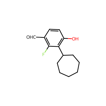 O=Cc1ccc(O)c(C2CCCCCC2)c1F